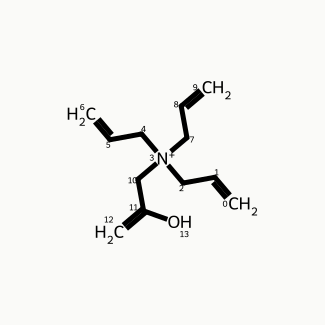 C=CC[N+](CC=C)(CC=C)CC(=C)O